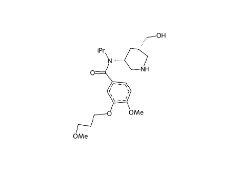 COCCCOc1cc(C(=O)N(C(C)C)[C@H]2CNC[C@@H](CO)C2)ccc1OC